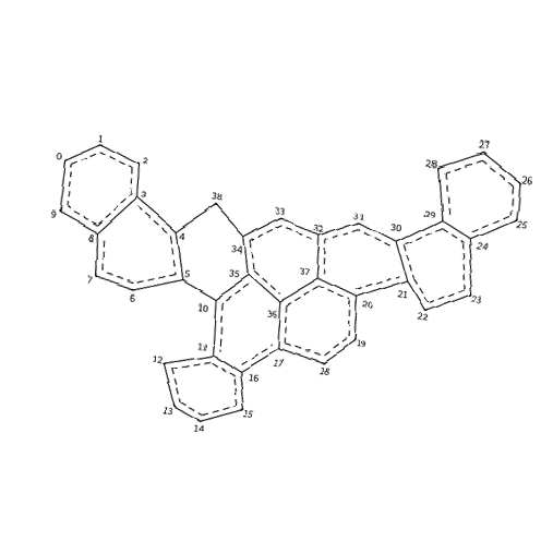 c1ccc2c3c(ccc2c1)-c1c2ccccc2c2ccc4c5ccc6ccccc6c5cc5cc(c1c2c54)C3